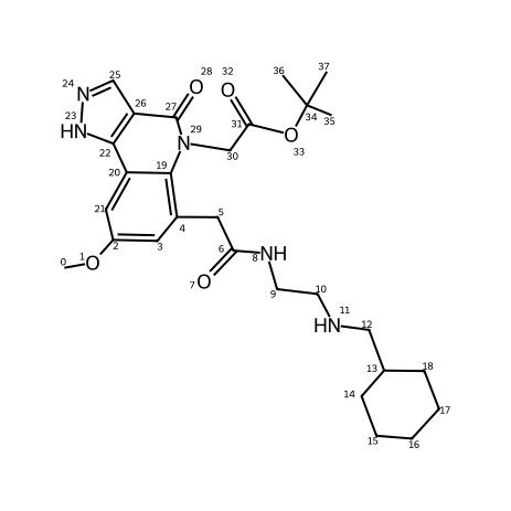 COc1cc(CC(=O)NCCNCC2CCCCC2)c2c(c1)c1[nH]ncc1c(=O)n2CC(=O)OC(C)(C)C